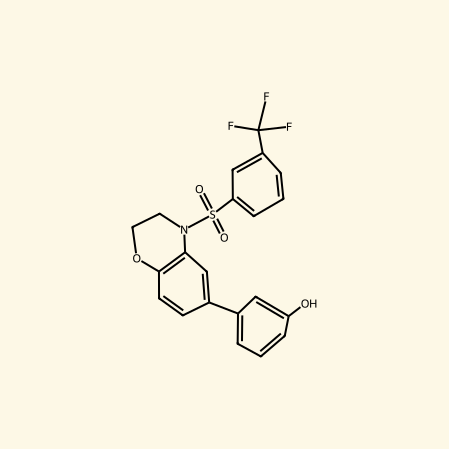 O=S(=O)(c1cccc(C(F)(F)F)c1)N1CCOc2ccc(-c3cccc(O)c3)cc21